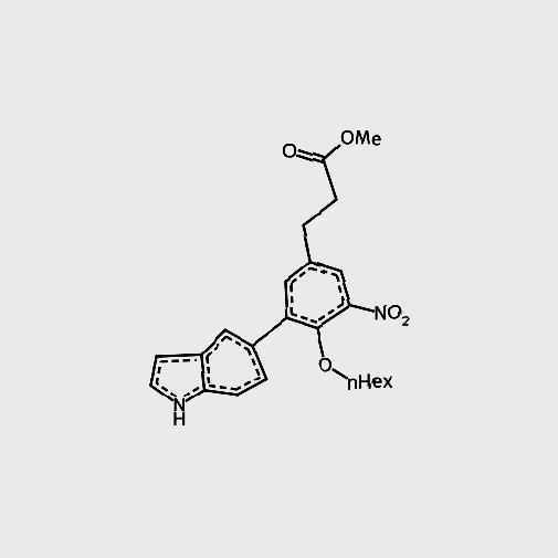 CCCCCCOc1c(-c2ccc3[nH]ccc3c2)cc(CCC(=O)OC)cc1[N+](=O)[O-]